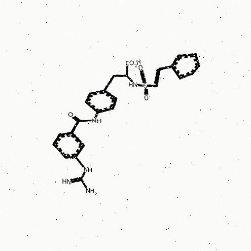 N=C(N)Nc1cccc(C(=O)Nc2ccc(CC(NS(=O)(=O)/C=C/c3ccccc3)C(=O)O)cc2)c1